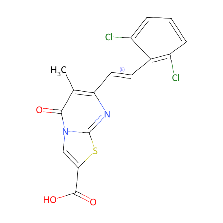 Cc1c(/C=C/c2c(Cl)cccc2Cl)nc2sc(C(=O)O)cn2c1=O